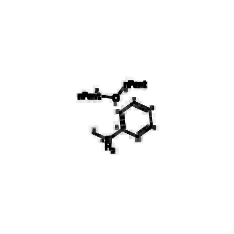 CCCCCOCCCCC.C[SiH2]c1ccccc1